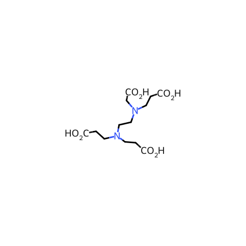 O=C(O)CCN(CCC(=O)O)CCN(CCC(=O)O)CC(=O)O